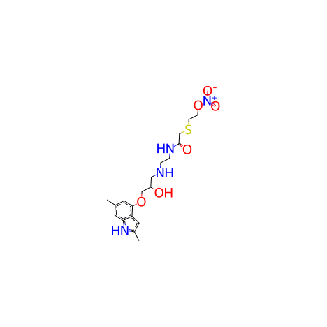 Cc1cc(OCC(O)CNCCNC(=O)CSCCO[N+](=O)[O-])c2cc(C)[nH]c2c1